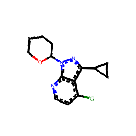 Clc1ccnc2c1c(C1CC1)nn2C1CCCCO1